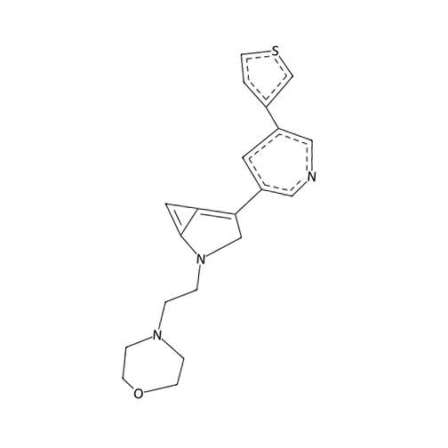 C1=C2C1=C(c1cncc(-c3ccsc3)c1)CN2CCN1CCOCC1